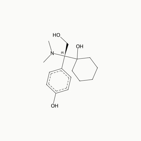 CN(C)[C@@](CO)(c1ccc(O)cc1)C1(O)CCCCC1